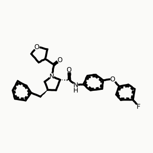 O=C(Nc1ccc(Oc2ccc(F)cc2)cc1)[C@@H]1C[C@@H](Cc2ccccc2)CN1C(=O)C1CCOC1